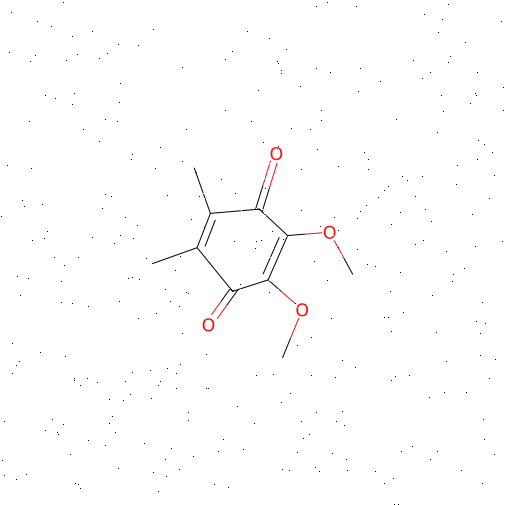 COC1=C(OC)C(=O)C(C)=C(C)C1=O